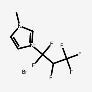 Cn1cc[n+](C(F)(F)C(F)C(F)(F)F)c1.[Br-]